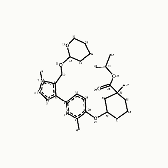 Cc1nc(-c2nnn(C)c2COC2CCCCO2)ccc1OC1CCCC(F)(C(=O)OC(C)C)C1